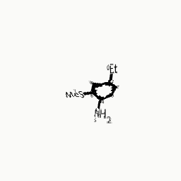 CCc1ccc(N)c(SC)c1